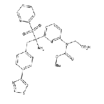 CC(C)(C)OC(=O)N(CC(=O)O)c1cccc(C(N)(Cc2ccc(-c3cscn3)cc2)S(=O)(=O)c2ccccn2)n1